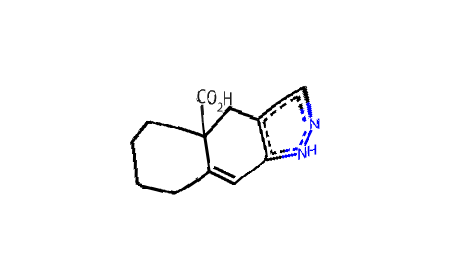 O=C(O)C12CCCCC1=Cc1[nH]ncc1C2